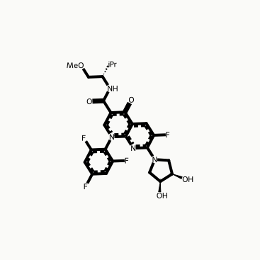 COC[C@@H](NC(=O)c1cn(-c2c(F)cc(F)cc2F)c2nc(N3C[C@@H](O)[C@@H](O)C3)c(F)cc2c1=O)C(C)C